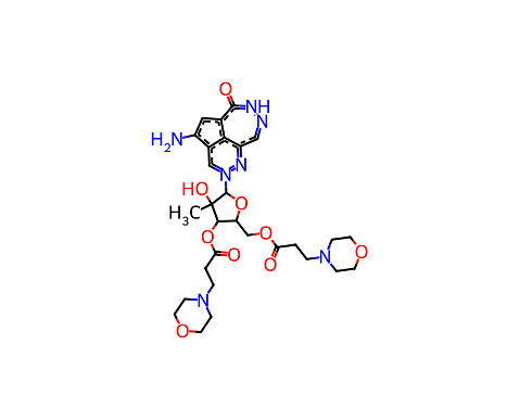 CC1(O)C(OC(=O)CCN2CCOCC2)C(COC(=O)CCN2CCOCC2)OC1n1cc2c(N)cc3c(=O)[nH]ncc(n1)c23